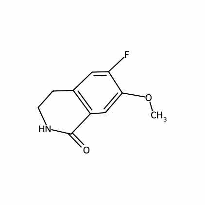 COc1cc2c(cc1F)CCNC2=O